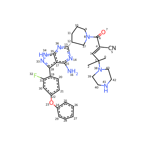 CC(C)(C=C(C#N)C(=O)N1CCC[C@@H](c2nc(N)c3c(-c4ccc(Oc5ccccc5)cc4F)n[nH]c3n2)C1)N1CCNCC1